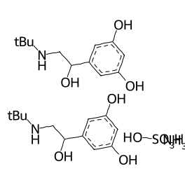 CC(C)(C)NCC(O)c1cc(O)cc(O)c1.CC(C)(C)NCC(O)c1cc(O)cc(O)c1.N.O=S(=O)(O)O